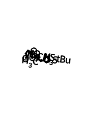 CC(C)(C)SSc1ccc(CC(C)(C)C(=O)ON2C(=O)CCC2=O)cn1